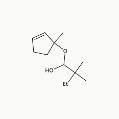 CCC(C)(C)C(O)OC1(C)C=CCC1